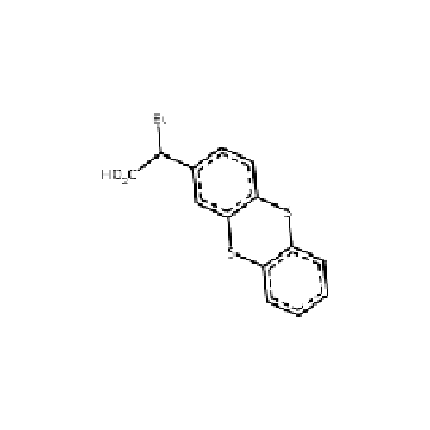 CCC(C(=O)O)c1ccc2c(c1)Sc1ccccc1S2